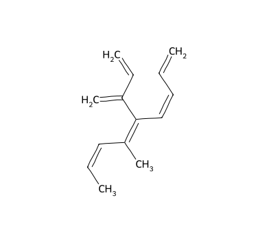 C=C\C=C/C(C(=C)C=C)=C(C)/C=C\C